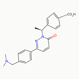 C[C@@H](c1ccc(C(=O)O)cc1)n1nc(-c2ccc(CN(C)C)cc2)ccc1=O